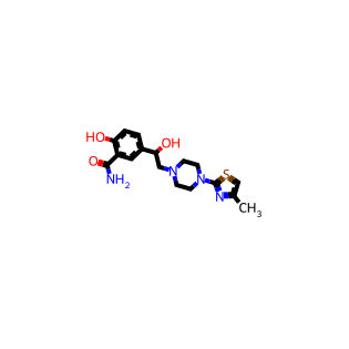 Cc1csc(N2CCN(CC(O)c3ccc(O)c(C(N)=O)c3)CC2)n1